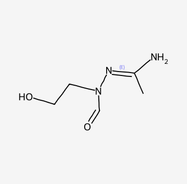 C/C(N)=N\N(C=O)CCO